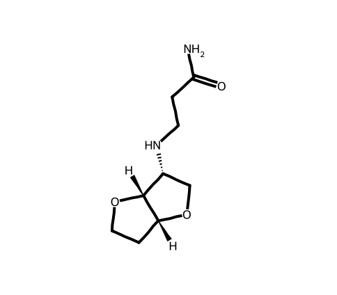 NC(=O)CCN[C@@H]1CO[C@@H]2CCO[C@H]12